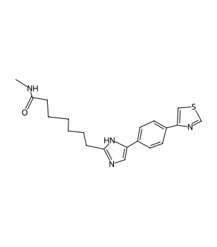 CNC(=O)CCCCCCc1ncc(-c2ccc(-c3cscn3)cc2)[nH]1